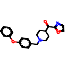 O=C(c1ncco1)C1CCN(Cc2ccc(Oc3ccccc3)cc2)CC1